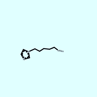 CCCCCCCCCCCn1ccnc1